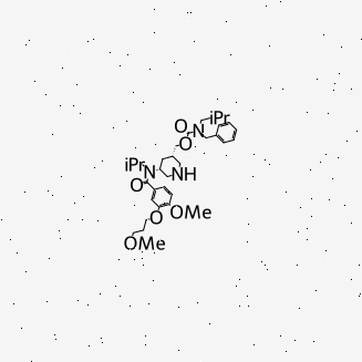 COCCCOc1cc(C(=O)N(C(C)C)[C@H]2CNC[C@@H](COC(=O)N(Cc3ccccc3)CC(C)C)C2)ccc1OC